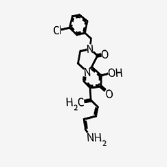 C=C(/C=C\C=C/N)c1cn2c(c(O)c1=O)C(=O)N(Cc1cccc(Cl)c1)CC2